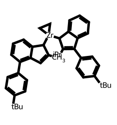 CC1=Cc2c(-c3ccc(C(C)(C)C)cc3)cccc2[CH]1[Zr]1([CH]2C(C(C)C)=C(c3ccc(C(C)(C)C)cc3)c3ccccc32)[CH2][CH2]1